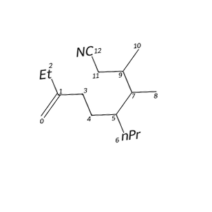 C=C(CC)CCC(CCC)C(C)C(C)CC#N